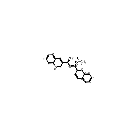 C/N=C(\N=C(/NC)c1ccc2ncccc2c1)c1cnc2ccccc2c1